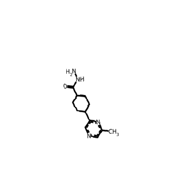 Cc1cncc(C2CCC(C(=O)NN)CC2)n1